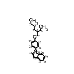 CCCCC(CC)COc1ccc(-n2ccc3ccccc32)cc1